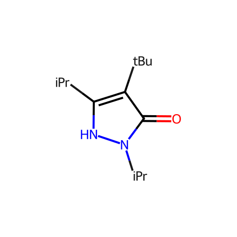 CC(C)c1[nH]n(C(C)C)c(=O)c1C(C)(C)C